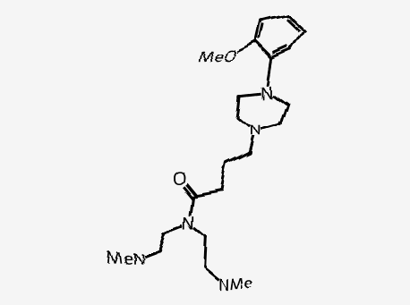 CNCCN(CCNC)C(=O)CCCN1CCN(c2ccccc2OC)CC1